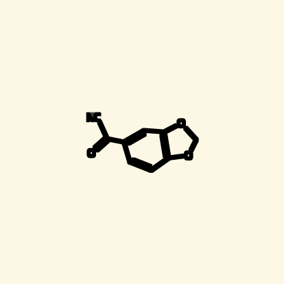 N#CC(=O)c1ccc2c(c1)OCO2